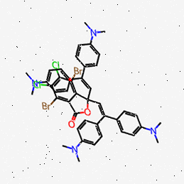 CN(C)c1ccc(C(=CC2(C=C(c3ccc(N(C)C)cc3)c3ccc(N(C)C)cc3)OC(=O)c3c(Br)c(Cl)c(Cl)c(Br)c32)c2ccc(N(C)C)cc2)cc1